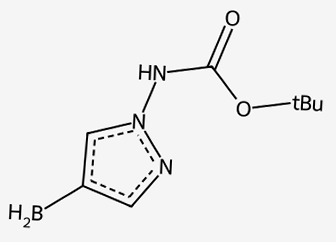 Bc1cnn(NC(=O)OC(C)(C)C)c1